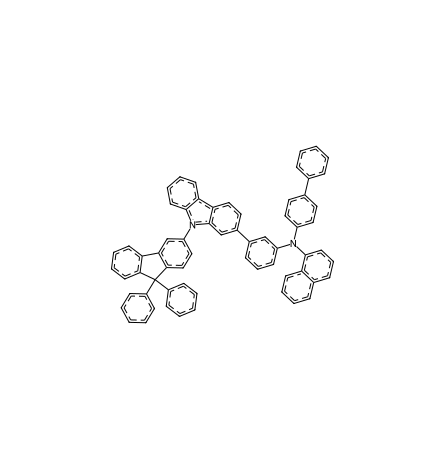 c1ccc(-c2ccc(N(c3cccc(-c4ccc5c6ccccc6n(-c6ccc7c(c6)-c6ccccc6C7(c6ccccc6)c6ccccc6)c5c4)c3)c3cccc4ccccc34)cc2)cc1